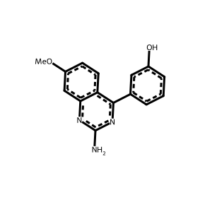 COc1ccc2c(-c3cccc(O)c3)nc(N)nc2c1